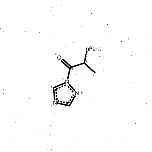 CCCCCC(C)C(=O)n1cncn1